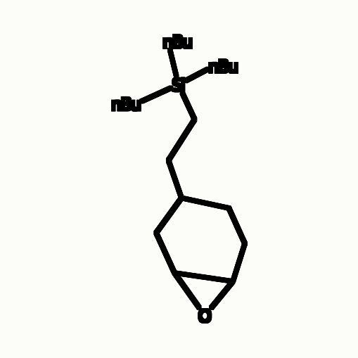 CCCC[Si](CCCC)(CCCC)CCC1CCC2OC2C1